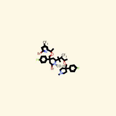 CC(OCC1(c2ccc(F)cc2)CC(Br)N(C(=O)O)C(C(C)(C)C(C(C)OCC2(c3ccc(F)cc3)CCN(C)CC2)C(F)(F)F)C1)c1cc(C(F)(F)F)cc(Br)n1